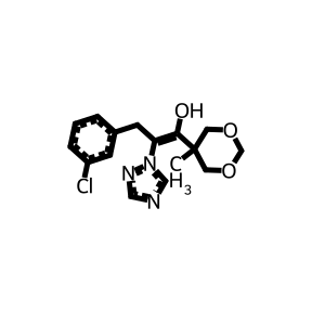 CC1(C(O)=C(Cc2cccc(Cl)c2)n2cncn2)COCOC1